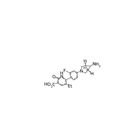 CCc1cc(C(=O)O)c(=O)[nH]c1-c1ccc(N2C[C@@H]3C(N)[C@@H]3C2)cc1F